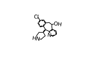 OC1Cc2cc(Cl)ccc2C(=C2CCNCC2)c2ncccc21